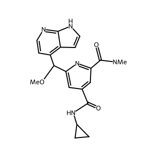 CNC(=O)c1cc(C(=O)NC2CC2)cc(C(OC)c2ccnc3[nH]ccc23)n1